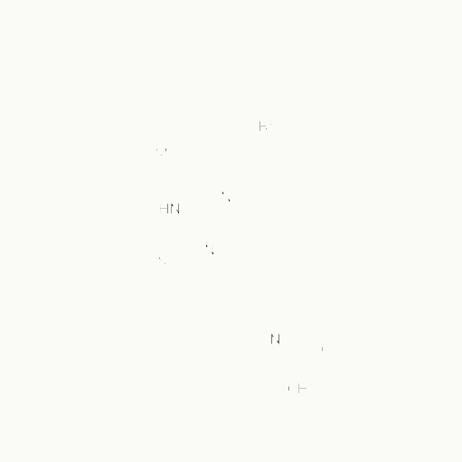 CC(O)N1CCC(c2csc(Nc3ncc(Br)cc3Oc3ccccc3)n2)CC1